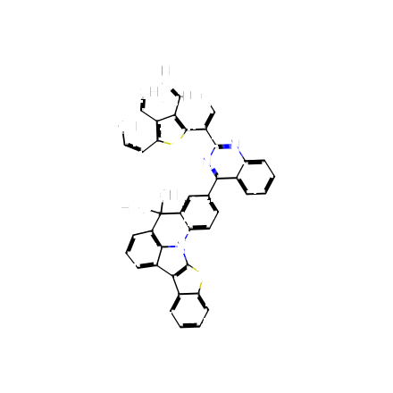 C=Cc1c(/C=C\C)sc(/C(=C\C)c2nc(-c3ccc4c(c3)C(C)(C)c3cccc5c6c7ccccc7sc6n-4c35)c3ccccc3n2)c1C=C